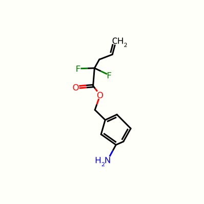 C=CCC(F)(F)C(=O)OCc1cccc(N)c1